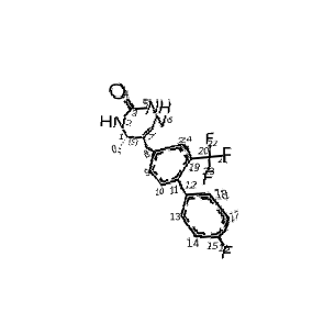 C[C@@H]1NC(=O)NN=C1c1ccc(-c2ccc(F)cc2)c(C(F)(F)F)c1